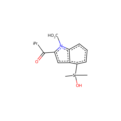 CC(C)C(=O)c1cc2c([Si](C)(C)O)cccc2n1C(=O)O